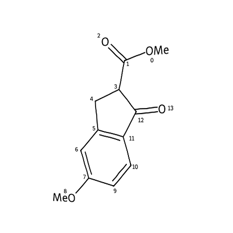 COC(=O)C1Cc2cc(OC)ccc2C1=O